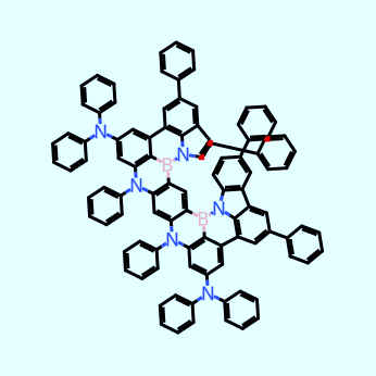 c1ccc(-c2ccc3c(c2)c2cc(-c4ccccc4)cc4c2n3B2c3cc5c(cc3N(c3ccccc3)c3cc(N(c6ccccc6)c6ccccc6)cc-4c32)N(c2ccccc2)c2cc(N(c3ccccc3)c3ccccc3)cc3c2B5n2c4ccc(-c5ccccc5)cc4c4cc(-c5ccccc5)cc-3c42)cc1